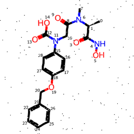 C[C@@H](C(=O)NO)N(C)C(=O)CN(C(=O)O)c1ccc(OCc2ccccc2)cc1